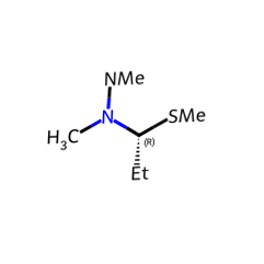 CC[C@@H](SC)N(C)NC